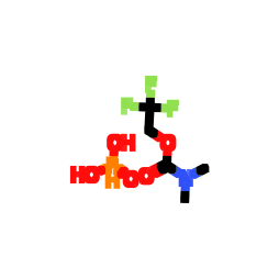 CN(C)C(=O)OCC(F)(F)F.O=[PH](O)O